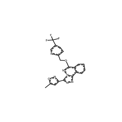 Cc1cc(-c2nnc3c4ccccc4c(OCc4ccc(C(F)(F)F)cn4)nn23)no1